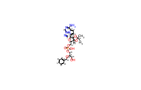 CC1(C)O[C@H]2[C@@H](O1)[C@](C#N)(c1ccc3c(N)ncnn13)O[C@@H]2COP(=O)(O)OC[C@@H](CO)OCc1ccccc1